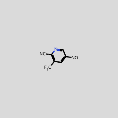 N#Cc1ncc(N=O)cc1C(F)(F)F